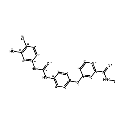 CNC(=O)c1cc(Oc2ccc(NC(=O)Nc3ccc(Cl)c(O)c3)cc2)ccn1